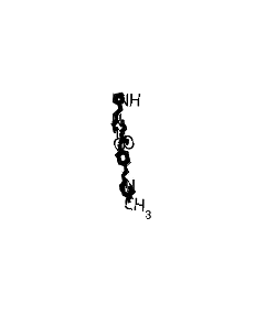 Cc1ccc(CCc2ccc(OC(=O)N3CCN(CCc4ccc[nH]4)CC3)cc2)nc1